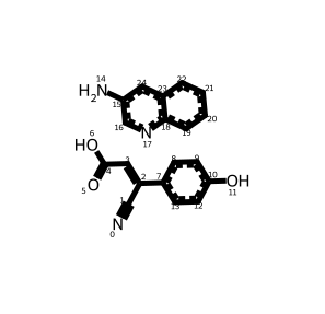 N#CC(=CC(=O)O)c1ccc(O)cc1.Nc1cnc2ccccc2c1